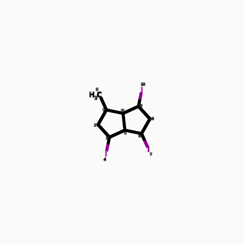 CC1CC(I)C2C(I)CC(I)C12